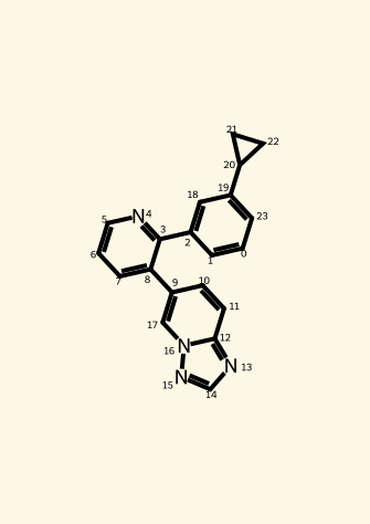 c1cc(-c2ncccc2-c2ccc3ncnn3c2)cc(C2CC2)c1